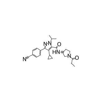 CCC(=O)N1CC[C@@H](NC(=O)c2c(C3CC3)c(-c3ccc(C#N)cc3)nn2C(C)C)C1